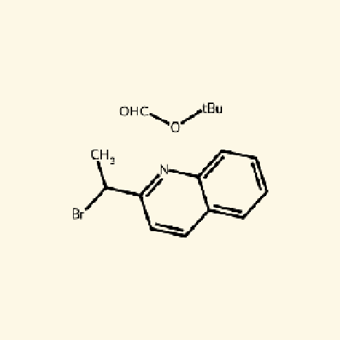 CC(Br)c1ccc2ccccc2n1.CC(C)(C)OC=O